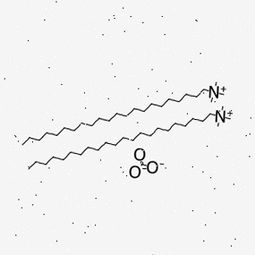 CCCCCCCCCCCCCCCCCCCCCC[N+](C)(C)C.CCCCCCCCCCCCCCCCCCCCCC[N+](C)(C)C.O=C([O-])[O-]